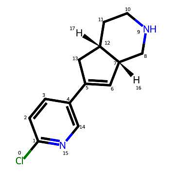 Clc1ccc(C2=C[C@H]3CNCC[C@H]3C2)cn1